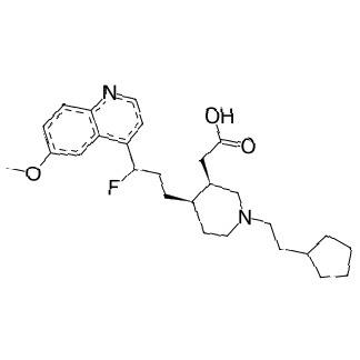 COc1ccc2nccc(C(F)CC[C@@H]3CCN(CCC4CCCC4)C[C@@H]3CC(=O)O)c2c1